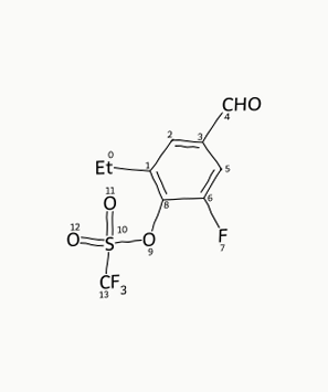 CCc1cc(C=O)cc(F)c1OS(=O)(=O)C(F)(F)F